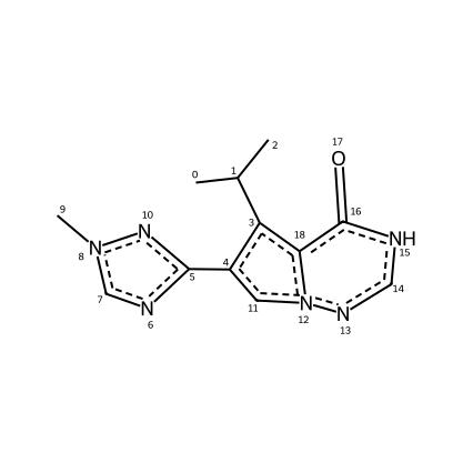 CC(C)c1c(-c2ncn(C)n2)cn2nc[nH]c(=O)c12